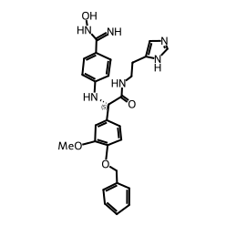 COc1cc([C@H](Nc2ccc(C(=N)NO)cc2)C(=O)NCCc2cnc[nH]2)ccc1OCc1ccccc1